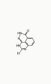 CCC1=Nc2cccc3c(=O)[nH]nc(c23)N1